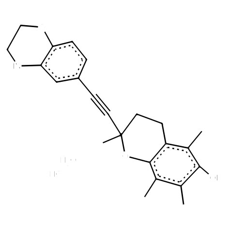 Cc1c(C)c2c(c(C)c1O)CCC(C)(C#Cc1ccc3c(c1)NCCO3)O2.Cl.O